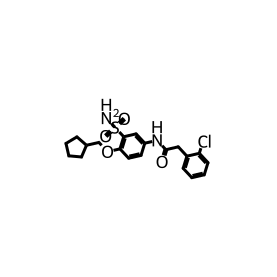 NS(=O)(=O)c1cc(NC(=O)Cc2ccccc2Cl)ccc1OCC1CCCC1